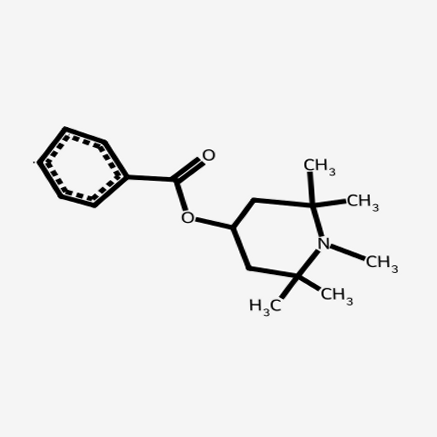 CN1C(C)(C)CC(OC(=O)c2cc[c]cc2)CC1(C)C